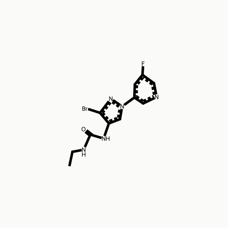 CCNC(=O)Nc1cn(-c2cncc(F)c2)nc1Br